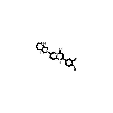 COc1ccc(C2=CC(=O)N3C=C(N4CC5NCCC[C@@H]5C4)C=CC3P2)cc1F